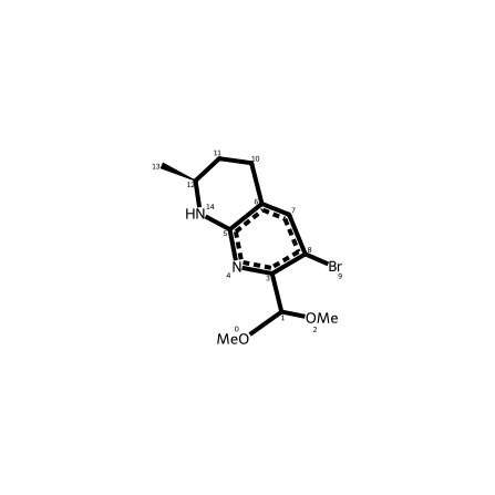 COC(OC)c1nc2c(cc1Br)CC[C@H](C)N2